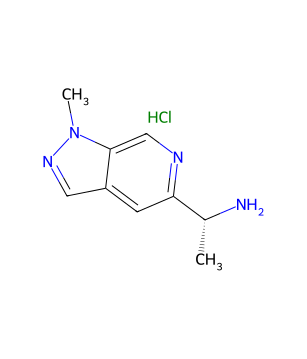 C[C@@H](N)c1cc2cnn(C)c2cn1.Cl